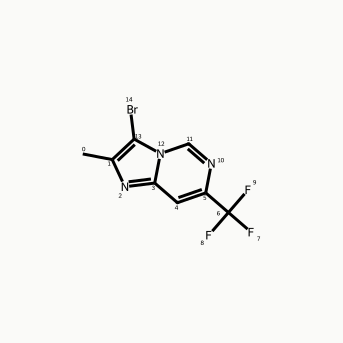 Cc1nc2cc(C(F)(F)F)ncn2c1Br